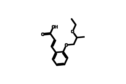 CCOC(C)COc1ccccc1/C=C/C(=O)O